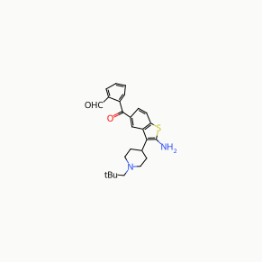 CC(C)(C)CN1CCC(c2c(N)sc3ccc(C(=O)c4ccccc4C=O)cc23)CC1